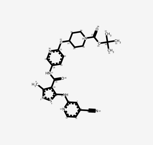 Cc1nsc(Nc2cc(C#N)ccn2)c1C(=O)Nc1ccc(OC2CCN(C(=O)OC(C)(C)C)CC2)nc1